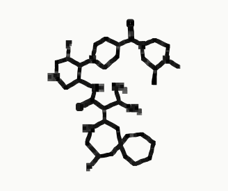 C[C@H]1CN(C(=O)C2CCN(C3C(F)CNCC3NC(=O)C(C(N)N)C3CC4(CCCCCC4)CC(F)CN3)CC2)CCN1C